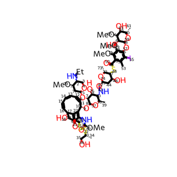 CCN[C@H]1CO[C@@H](O[C@H]2[C@H](O[C@H]3C#C/C=C\C#C[C@]4(O)CC(=O)C(NC(=O)OC)=C3/C4=C\CSS[C@H](C)CO)O[C@H](C)[C@@H](NO[C@H]3C[C@H](O)[C@H](SC(=O)c4c(C)c(I)c(O[C@@H]5O[C@@H](C)[C@H](O)[C@@H](OC)[C@H]5O)c(OC)c4OC)[C@@H](C)O3)[C@@H]2O)C[C@@H]1OC